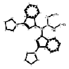 O=C[NH][In]([NH]C=O)[Zr]([CH]1C=C(N2CCCC2)c2ccccc21)[CH]1C=C(N2CCCC2)c2ccccc21